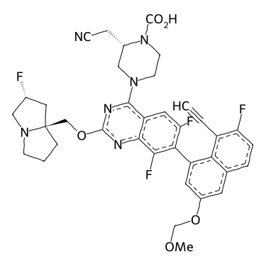 C#Cc1c(F)ccc2cc(OCOC)cc(-c3c(F)cc4c(N5CCN(C(=O)O)[C@@H](CC#N)C5)nc(OC[C@@]56CCCN5C[C@H](F)C6)nc4c3F)c12